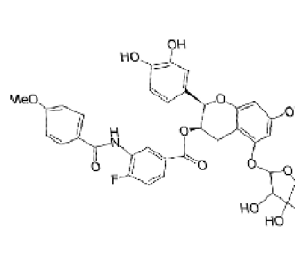 COc1ccc(C(=O)Nc2cc(C(=O)O[C@@H]3Cc4c(OC5OCC(O)(CO)C5O)cc(O)cc4O[C@@H]3c3ccc(O)c(O)c3)ccc2F)cc1